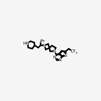 CC(C)C(CC1CCNCC1)N1CC2(CCN(c3ncnc4sc(CC(F)(F)F)cc34)C2)C1